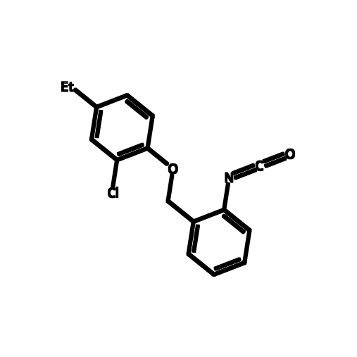 CCc1ccc(OCc2ccccc2N=C=O)c(Cl)c1